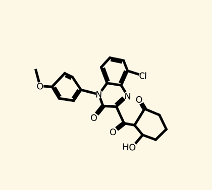 COc1ccc(-n2c(=O)c(C(=O)C3C(=O)CCCC3O)nc3c(Cl)cccc32)cc1